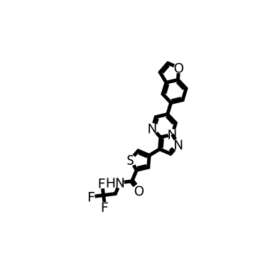 O=C(NCC(F)(F)F)c1cc(-c2cnn3cc(-c4ccc5occc5c4)cnc23)cs1